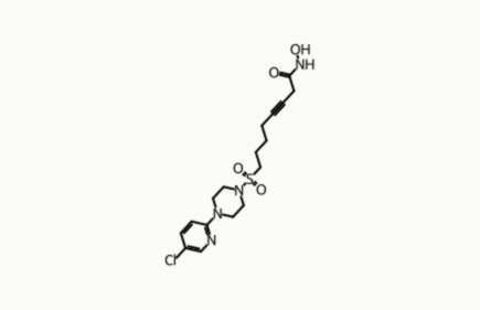 O=C(CC#CCCCCS(=O)(=O)N1CCN(c2ccc(Cl)cn2)CC1)NO